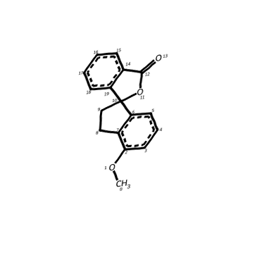 COc1cccc2c1CCC21OC(=O)c2ccccc21